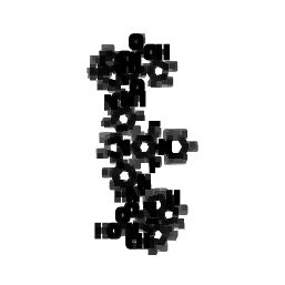 CN(C(=O)O)[C@H](C(=O)N1[C@H](c2nc3cc([C@H]4CC[C@H](c5ccc6[nH]c([C@@H]7C[C@@H]8CCC[C@@H]8N7C(=O)[C@H](C7CCCC7)N(C)C(=O)O)nc6c5)N4c4cc(F)c(N5CCCCC5)c(F)c4)ccc3[nH]2)C[C@@H]2CCC[C@@H]21)C1CCCC1